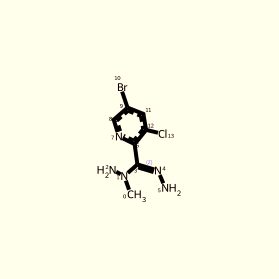 CN(N)/C(=N\N)c1ncc(Br)cc1Cl